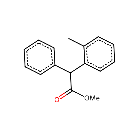 COC(=O)C(c1ccccc1)c1ccccc1C